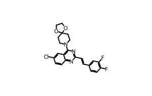 Fc1ccc(/C=C/c2nc(N3CCC4(CC3)OCCO4)c3cc(Cl)ccc3n2)cc1F